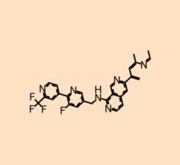 C=C(/C=C(C)\N=C/C)c1cc2ccnc(NCc3cnc(-c4ccnc(C(F)(F)F)c4)c(F)c3)c2cn1